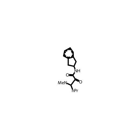 CCCC(NC)C(=O)C(=O)NC1Cc2ccccc2C1